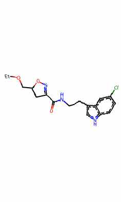 CCOCC1CC(C(=O)NCCc2c[nH]c3ccc(Cl)cc23)=NO1